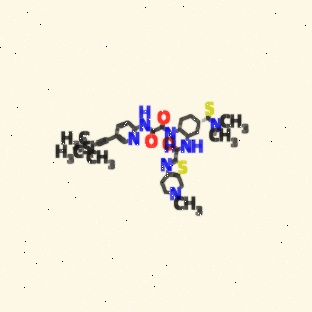 CN1CCc2nc(C(=O)N[C@@H]3C[C@@H](C(=S)N(C)C)CC[C@@H]3NC(=O)C(=O)Nc3ccc(C#C[Si](C)(C)C)cn3)sc2C1